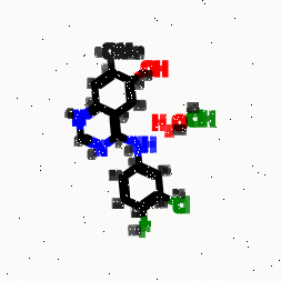 COc1cc2ncnc(Nc3ccc(F)c(Cl)c3)c2cc1O.Cl.O